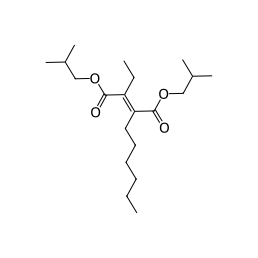 CCCCCCC(C(=O)OCC(C)C)=C(CC)C(=O)OCC(C)C